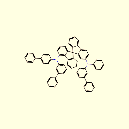 C1=CC2=C(CC1)C1(c3ccccc3-c3ccc(N(c4ccccc4)c4cccc(-c5ccccc5)c4)cc31)c1cccc(N(c3ccc(-c4ccccc4)cc3)c3cccc(-c4ccccc4)c3)c12